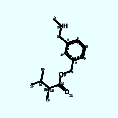 CNCc1cccc(COC(=O)[C@@H](C)C(C)C)c1